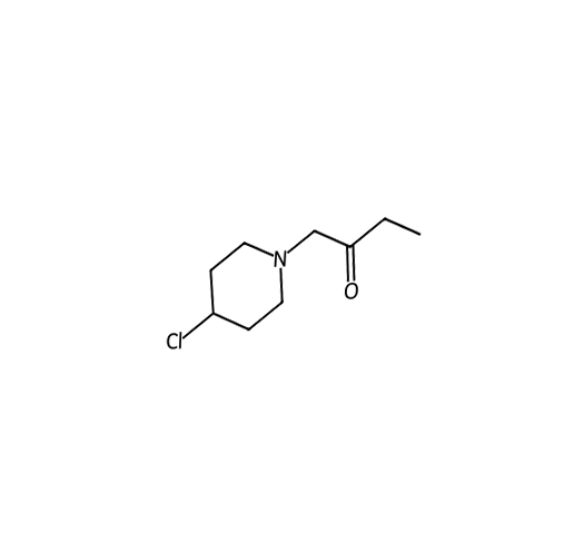 CCC(=O)CN1CCC(Cl)CC1